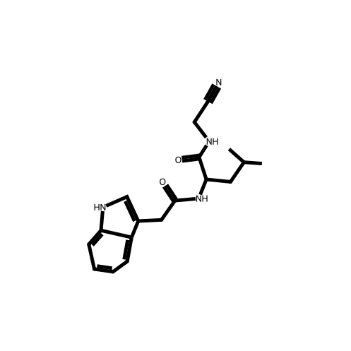 CC(C)CC(NC(=O)Cc1c[nH]c2ccccc12)C(=O)NCC#N